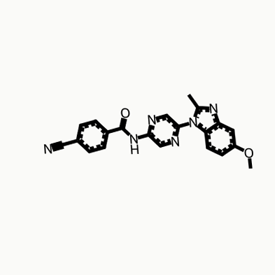 COc1ccc2c(c1)nc(C)n2-c1cnc(NC(=O)c2ccc(C#N)cc2)cn1